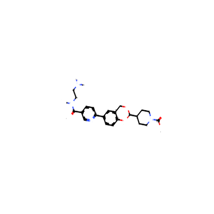 CN(C)CCN(C)C(=O)c1ccc(-c2ccc3c(c2)COC(C2CCN(C(=O)O)CC2)O3)nc1